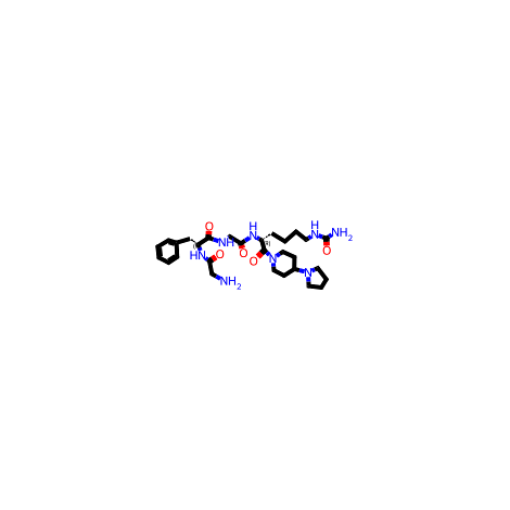 NCC(=O)N[C@H](Cc1ccccc1)C(=O)NCC(=O)N[C@H](CCCCNC(N)=O)C(=O)N1CCC(N2CCCC2)CC1